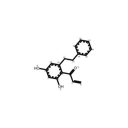 C=CC(=O)c1c(O)cc(O)cc1CCc1ccccc1